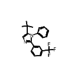 CC(C)(C)c1cnc(-c2cccc(C(F)(F)F)c2)n1-c1ccccc1